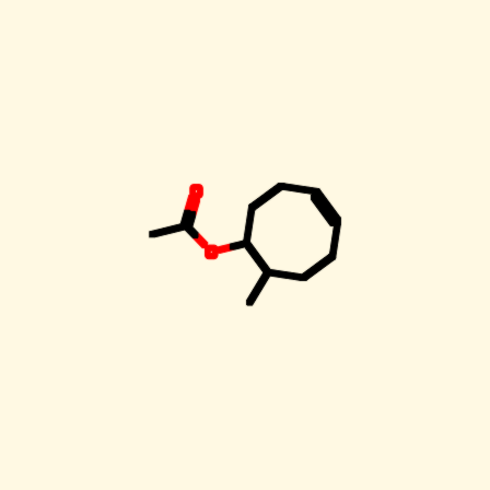 CC(=O)OC1CCC=CCCC1C